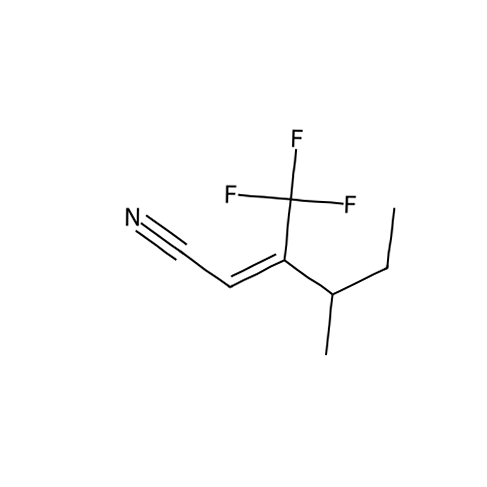 CCC(C)C(=CC#N)C(F)(F)F